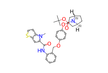 Cn1c(C(=O)Nc2ccccc2COc2ccc(OC3C[C@@H]4CC[C@@H](C3)N4C(=O)OC(C)(C)C)cc2)cc2sccc21